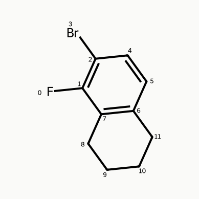 Fc1c(Br)ccc2c1CCCC2